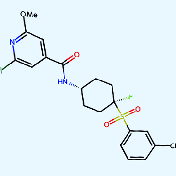 COc1cc(C(=O)N[C@H]2CC[C@](F)(S(=O)(=O)c3cccc(C(F)(F)F)c3)CC2)cc(Cl)n1